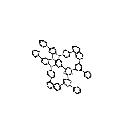 c1ccc(-c2ccc(N3c4ccc(-c5ccccc5)cc4B4c5cc(-c6ccccc6)ccc5N(c5ccc(-c6ccccc6)cc5)c5cc(-c6cc(-c7cc(-c8ccccc8)cc(-c8ccccc8)c7)nc(-c7cc(-c8ccccc8)cc(-c8ccccc8)c7)n6)cc3c54)cc2)cc1